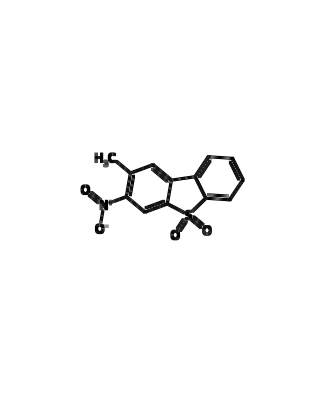 Cc1cc2c(cc1[N+](=O)[O-])S(=O)(=O)c1ccccc1-2